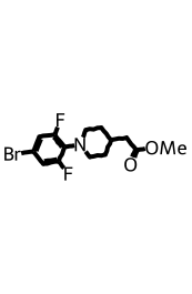 COC(=O)CC1CCN(c2c(F)cc(Br)cc2F)CC1